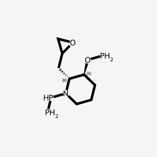 PO[C@H]1CCCN(PP)[C@@H]1CC1CO1